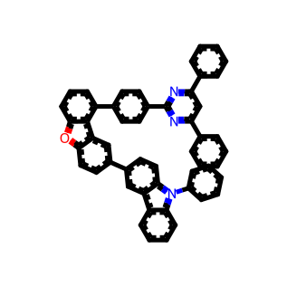 c1ccc(-c2cc(-c3ccccc3)nc(-c3ccc(-c4cccc5oc6ccc(-c7ccc8c(c7)c7ccccc7n8-c7ccccc7)cc6c45)cc3)n2)cc1